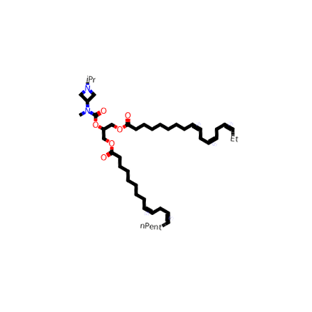 CC/C=C\C/C=C\C/C=C\CCCCCCCC(=O)OCC(COC(=O)CCCCCCC/C=C\C/C=C\CCCCC)OC(=O)N(C)C1CN(C(C)C)C1